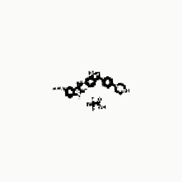 COc1ccc2c(c1)[C@@]1(C[C@@H]1c1ccc3c(-c4ccc(N5CCNCC5)cc4)n[nH]c3c1)C(=O)N2.O=C(O)C(F)(F)F